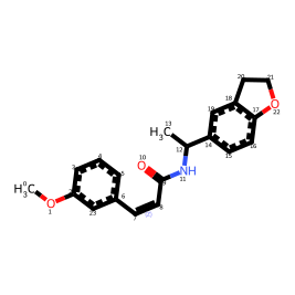 COc1cccc(/C=C\C(=O)NC(C)c2ccc3c(c2)CCO3)c1